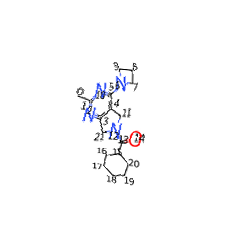 Cc1nc2c(c(N3CCC3)n1)CN(C(=O)C1CCCCC1)C2